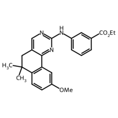 CCOC(=O)c1cccc(Nc2ncc3c(n2)-c2cc(OC)ccc2C(C)(C)C3)c1